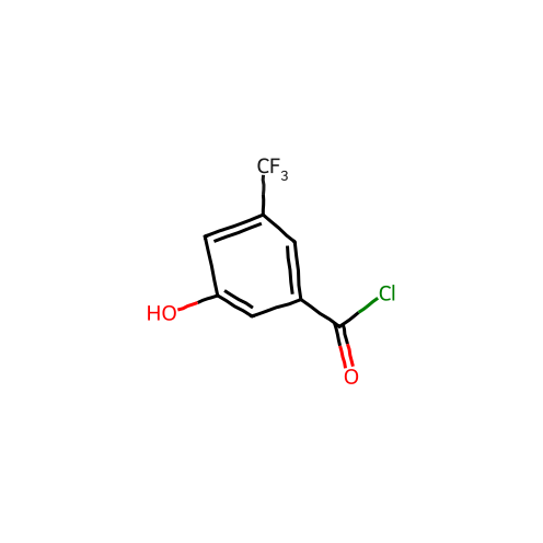 O=C(Cl)c1cc(O)cc(C(F)(F)F)c1